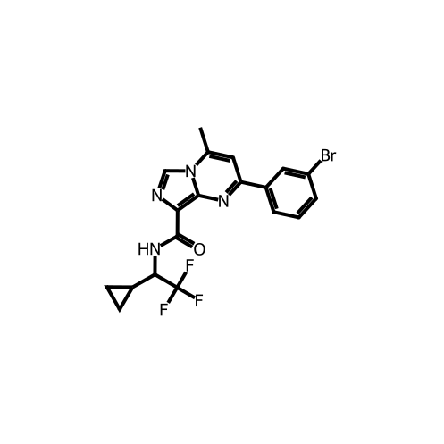 Cc1cc(-c2cccc(Br)c2)nc2c(C(=O)NC(C3CC3)C(F)(F)F)ncn12